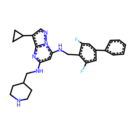 Fc1cc(-c2ccccc2)cc(F)c1CNc1cc(NCC2CCNCC2)nc2c(C3CC3)cnn12